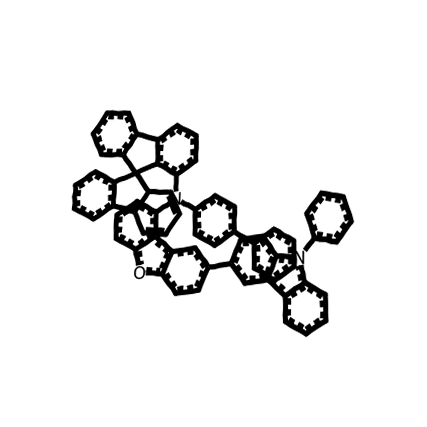 C1=CC2c3ccccc3C3(c4ccccc4-c4cccc(N(c5ccc(-c6ccccc6)cc5)c5cccc6oc7ccc(-c8ccc9c(c8)c8ccccc8n9-c8ccccc8)cc7c56)c43)C2C=C1